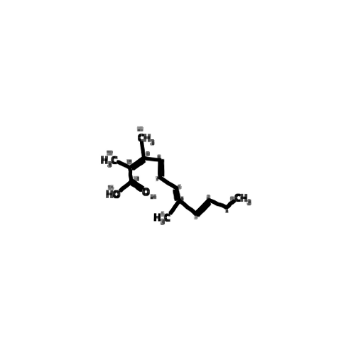 CCC=CC(C)=CC=CC(C)=C(C)C(=O)O